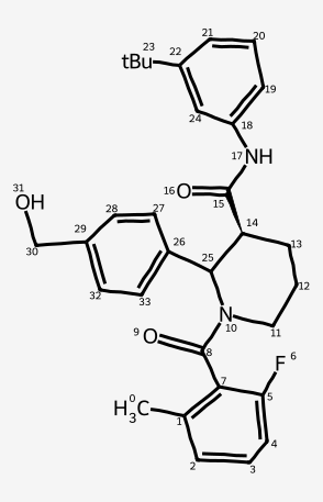 Cc1cccc(F)c1C(=O)N1CCC[C@H](C(=O)Nc2cccc(C(C)(C)C)c2)C1c1ccc(CO)cc1